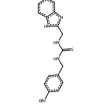 CC(C)(C)c1ccc(CNC(=S)NCc2nc3ccccc3[nH]2)cc1